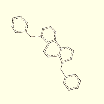 c1ccc(C[n+]2cccc3c4ccc[n+](Cc5ccccc5)c4ccc32)cc1